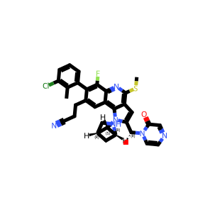 CSc1nc2c(F)c(-c3cccc(Cl)c3C)c(CCC#N)cc2c2c1cc([C@@H](C)n1ccncc1=O)n2[C@H]1[C@H]2CN[C@@H]1C2